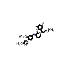 COc1cc(/C=C2\CCCN(C(CCON)c3cc(F)cc(F)c3)C2=O)ccc1-n1cnc(C)c1